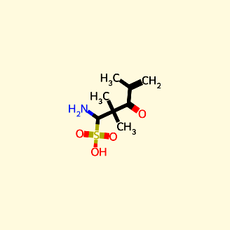 C=C(C)C(=O)C(C)(C)C(N)S(=O)(=O)O